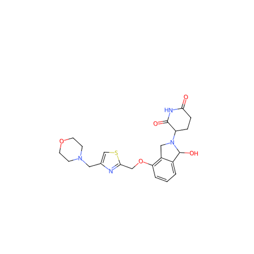 O=C1CCC(N2Cc3c(OCc4nc(CN5CCOCC5)cs4)cccc3C2O)C(=O)N1